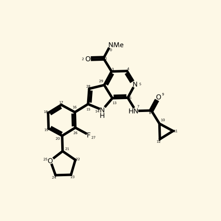 CNC(=O)c1cnc(NC(=O)C2CC2)c2[nH]c(-c3cccc(C4CCCO4)c3F)cc12